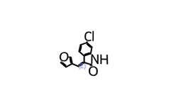 O=C1Nc2cc(Cl)ccc2/C1=C\c1ccoc1